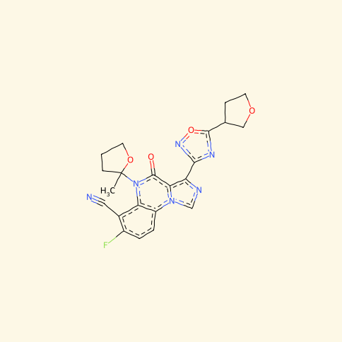 CC1(n2c(=O)c3c(-c4noc(C5CCOC5)n4)ncn3c3ccc(F)c(C#N)c32)CCCO1